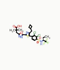 CC[C@H](NS(=O)(=O)c1ccc(-c2sc(-c3nnc(CC(C)(C)C(=O)O)o3)nc2CC2CCC2)c(Cl)c1Cl)C(F)(F)F